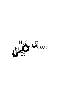 CCC(CC)(c1ccc(OCC(=O)OC)c(C)c1)c1ccco1